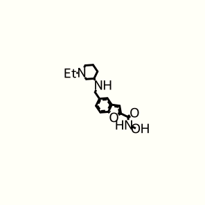 CCN1CCCC(NCc2ccc3oc(C(=O)NO)cc3c2)C1